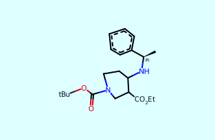 CCOC(=O)C1CN(C(=O)OC(C)(C)C)CCC1N[C@H](C)c1ccccc1